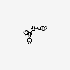 c1cc2c(-c3cnn(CCN4CCOCC4)c3)cn(C3CCOCC3)c2cn1